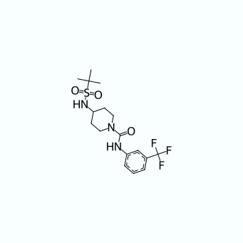 CC(C)(C)S(=O)(=O)NC1CCN(C(=O)Nc2cccc(C(F)(F)F)c2)CC1